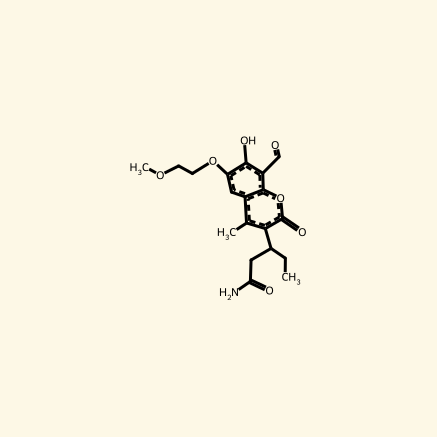 CCC(CC(N)=O)c1c(C)c2cc(OCCOC)c(O)c(C=O)c2oc1=O